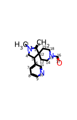 C=C1N(C)CC(c2cccnc2)C12CCN(C=O)CC2